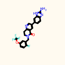 Nc1nc2ccc(-c3cnc4c(c3)C(=O)N(Cc3cc(OC(F)(F)F)ccc3F)CC4)cc2[nH]1